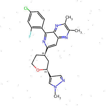 Cc1nc2cc([C@@H]3CCO[C@H](c4cnn(C)c4)C3)nc(-c3ccc(Cl)cc3F)c2nc1C